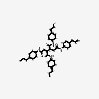 CCCC1CCC(NC(=O)CC(C(=O)NC2CCC(CCC)CC2)C(CC(=O)NC2CCC(CCC)CC2)C(=O)NC2CCC(CCC)CC2)CC1